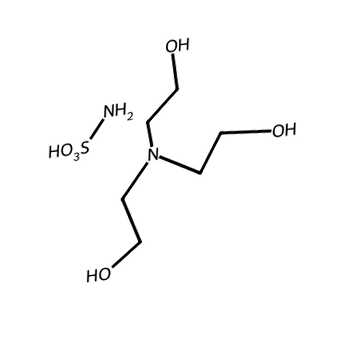 NS(=O)(=O)O.OCCN(CCO)CCO